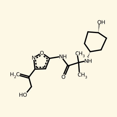 C=C(CO)c1cc(NC(=O)C(C)(C)N[C@H]2CC[C@@H](O)CC2)on1